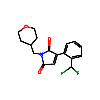 O=C1C=C(c2ccccc2C(F)F)C(=O)N1CC1CCOCC1